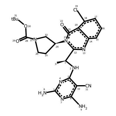 C[C@H](Nc1nc(N)nc(N)c1C#N)c1nc2cccc(Cl)c2c(=O)n1[C@H]1CCN(C(=O)OC(C)(C)C)C1